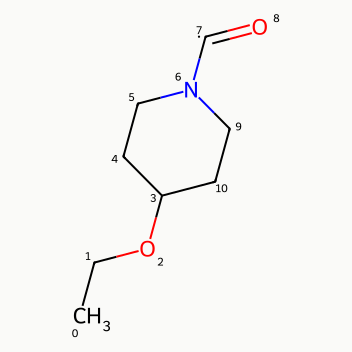 CCOC1CCN([C]=O)CC1